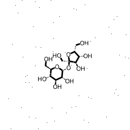 OC[C@H]1O[C@](CO)(O[C@H]2O[C@H](CO)[C@@H](O)[C@H](O)[C@H]2O)[C@H](O)[C@H]1O